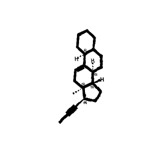 CC#C[C@@H]1CC[C@H]2[C@@H]3CCC4CCCC[C@@H]4C3=CC[C@]12C